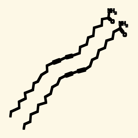 CCCCCCCCCCCCC#CC#CCCCCCCCCC(N)=O.CCCCCCCCCCCCC#CC#CCCCCCCCCC(N)=O